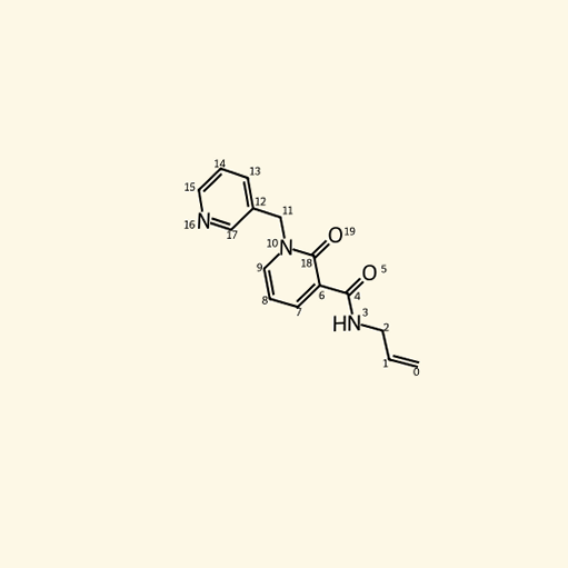 C=CCNC(=O)c1cccn(Cc2cccnc2)c1=O